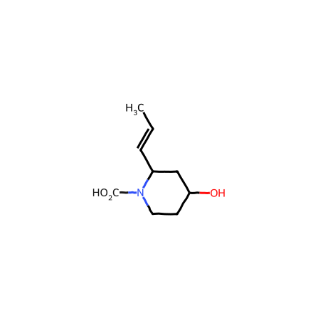 CC=CC1CC(O)CCN1C(=O)O